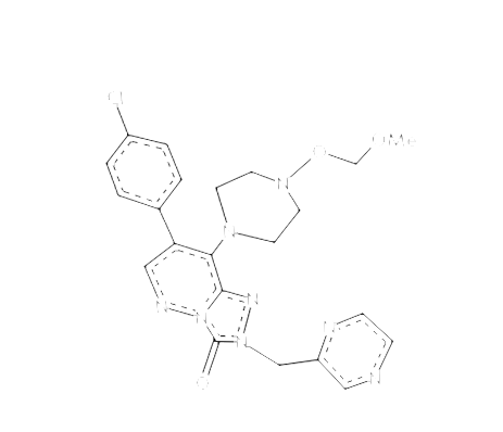 COCON1CCN(c2c(-c3ccc(Cl)cc3)cnn3c(=O)n(Cc4cnccn4)nc23)CC1